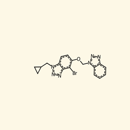 Brc1c(OCn2nnc3ccccc32)ccc2c1nnn2CC1CC1